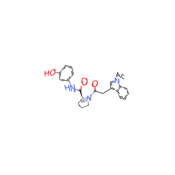 CC(=O)n1cc(CC(=O)N2CCC[C@H]2C(=O)Nc2cccc(O)c2)c2ccccc21